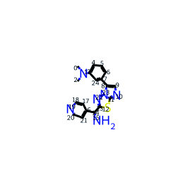 CN(C)c1cccc(-c2cnc3sc(C(N)c4ccncc4)nn23)c1